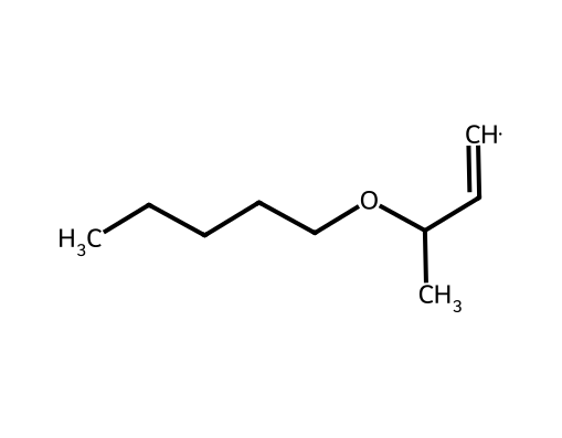 [CH]=CC(C)OCCCCC